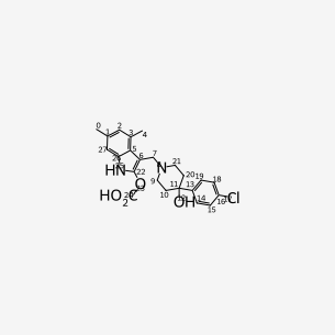 Cc1cc(C)c2c(CN3CCC(O)(c4ccc(Cl)cc4)CC3)c(OC(=O)O)[nH]c2c1